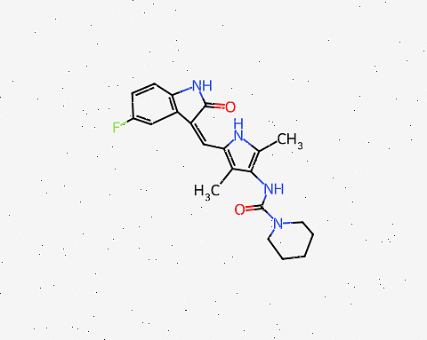 Cc1[nH]c(/C=C2\C(=O)Nc3ccc(F)cc32)c(C)c1NC(=O)N1CCCCC1